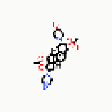 CC(=O)O[C@H]1C[C@@H]2CC[C@@H]3[C@H](CC[C@@]4(C)[C@H]3C[C@H](N3CCN(C)CC3)[C@@H]4OC(C)=O)[C@@]2(C)C[C@@H]1N1CCC(=O)CC1